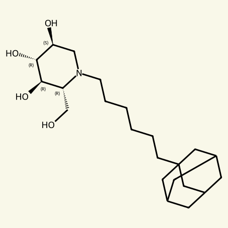 OC[C@@H]1[C@@H](O)[C@H](O)[C@@H](O)CN1CCCCCCC12CC3CC(CC(C3)C1)C2